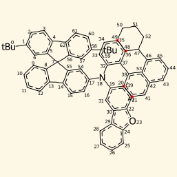 CC(C)(C)c1ccc2c(c1)C1(c3ccccc3-c3ccc(N(c4ccc5oc6ccccc6c5c4)c4ccccc4-c4cccc5cccc(C6CCCCC6)c45)cc31)c1cc(C(C)(C)C)ccc1-2